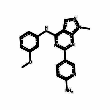 COc1cccc(Nc2nc(-c3ccc(N)nc3)nc3c2cnn3C)c1